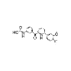 COc1ccc(C2CC=CN(C(=O)c3cccc(NC(=O)O)c3)N2)cc1OC